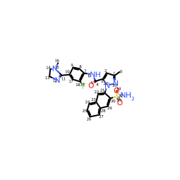 Cc1cc(C(=O)Nc2ccc(C3=NCCN3C)cc2F)n(-c2cc3ccccc3cc2S(N)(=O)=O)n1